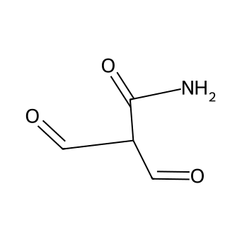 NC(=O)C(C=O)C=O